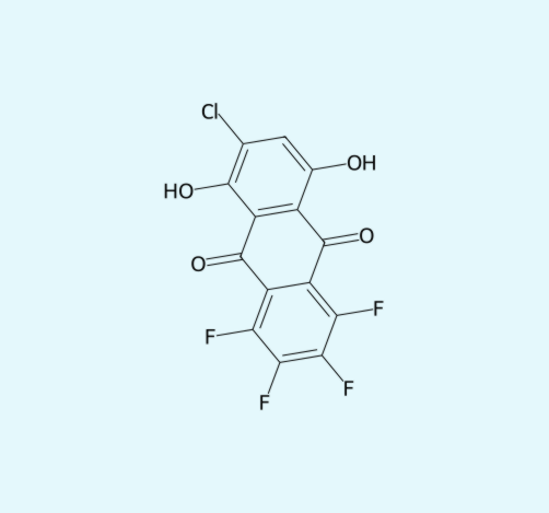 O=C1c2c(O)cc(Cl)c(O)c2C(=O)c2c(F)c(F)c(F)c(F)c21